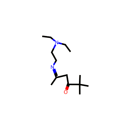 CCN(CC)CCN=C(C)CC(=O)C(C)(C)C